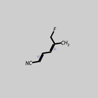 C/C(=C/C=C/C#N)CF